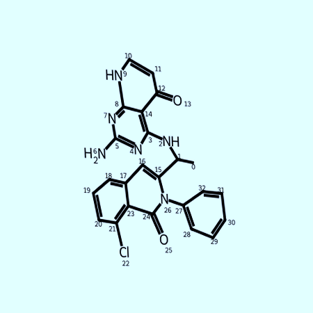 CC(Nc1nc(N)nc2[nH]ccc(=O)c12)c1cc2cccc(Cl)c2c(=O)n1-c1ccccc1